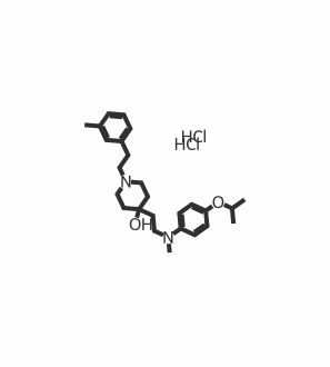 Cc1cccc(CCN2CCC(O)(CCN(C)c3ccc(OC(C)C)cc3)CC2)c1.Cl.Cl